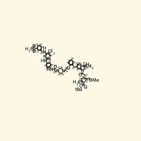 COC[C@H]1CN(C(=O)OC(C)(C)C)[C@H](C)CN1CC(=O)N1CC(C)(C)c2ncc(Cc3ccccc3OCCN3CCN(CC(=O)Nc4ccc(Nc5ncc(C(F)(F)F)c(NCc6cccc(S(C)(=O)=O)c6)n5)cc4)CC3)cc21